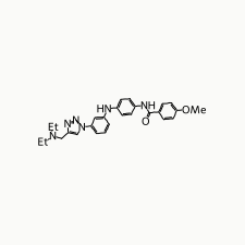 CCN(CC)Cc1cn(-c2cccc(Nc3ccc(NC(=O)c4ccc(OC)cc4)cc3)c2)nn1